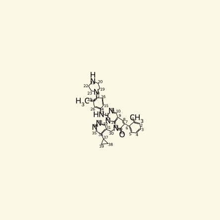 Cc1ccccc1-c1cc2cnc(Nc3ccc(N4CCNCC4)c(C)c3)nc2n(Cc2cnncc2C2CC2)c1=O